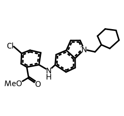 COC(=O)c1cc(Cl)ccc1Nc1ccc2c(ccn2CC2CCCCC2)c1